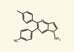 Cc1ccc(-c2nc3ccn(N)c3cc2-c2ccc(C#N)cc2)cc1